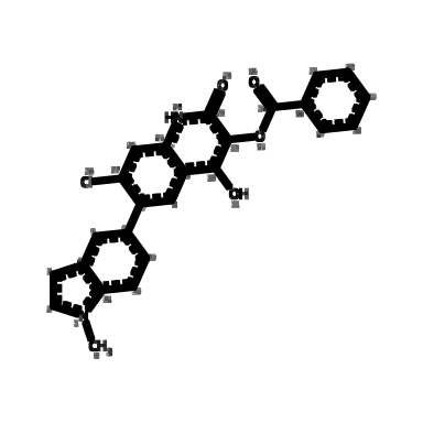 Cn1ccc2cc(-c3cc4c(O)c(OC(=O)c5ccccc5)c(=O)[nH]c4cc3Cl)ccc21